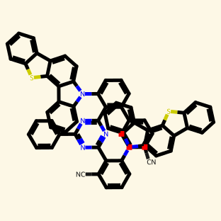 N#Cc1ccc(-c2cccc(-n3c4ccccc4c4c5sc6ccccc6c5ccc43)c2-c2nc(-c3ccccc3)nc(-c3c(C#N)cccc3-n3c4ccccc4c4c5sc6ccccc6c5ccc43)n2)cc1